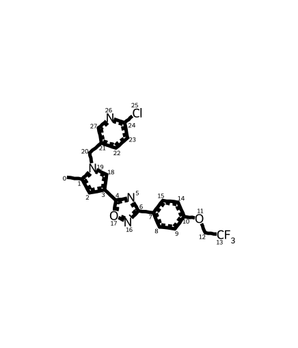 Cc1cc(-c2nc(-c3ccc(OCC(F)(F)F)cc3)no2)cn1Cc1ccc(Cl)nc1